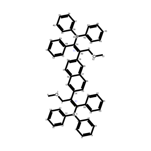 COC/C(=C(\B(c1ccccc1)c1ccccc1)c1ccccc1)c1ccc2cc(/C(COC)=C(/B(c3ccccc3)c3ccccc3)c3ccccc3)ccc2c1